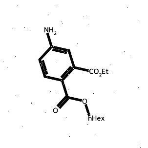 CCCCCCOC(=O)c1ccc(N)cc1C(=O)OCC